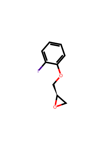 Ic1ccccc1OC[C@H]1CO1